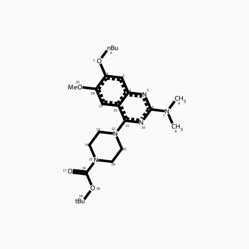 CCCCOc1cc2nc(N(C)C)nc(N3CCN(C(=O)OC(C)(C)C)CC3)c2cc1OC